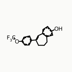 Oc1ccc2c(c1)CCCC(c1ccc(OC(F)(F)F)cc1)=C2